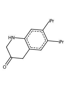 CC(C)c1cc2c(cc1C(C)C)NCC(=O)C2